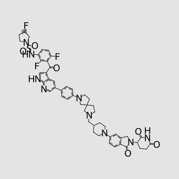 O=C1CCC(N2Cc3cc(N4CCC(CN5CCC6(CCN(c7ccc(-c8cnc9[nH]cc(C(=O)c%10c(F)ccc(NS(=O)(=O)N%11CC[C@@H](F)C%11)c%10F)c9c8)cc7)C6)C5)CC4)ccc3C2=O)C(=O)N1